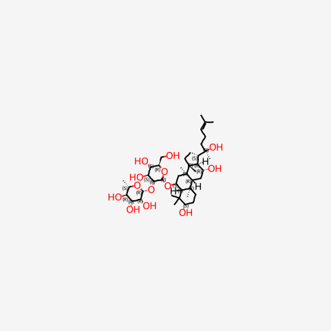 CC(C)=CCC[C@@](C)(O)[C@H]1CC[C@]2(C)[C@@H]1[C@H](O)C[C@@H]1[C@@]3(C)CC[C@H](O)C(C)(C)[C@@H]3[C@@H](O[C@@H]3O[C@H](CO)[C@@H](O)[C@H](O)[C@H]3O[C@H]3O[C@@H](C)[C@H](O)[C@@H](O)[C@H]3O)C[C@]12C